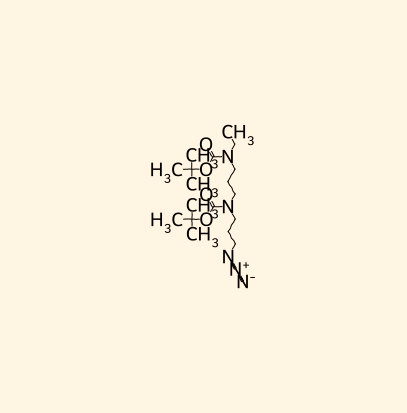 CCN(CCCN(CCCN=[N+]=[N-])C(=O)OC(C)(C)C)C(=O)OC(C)(C)C